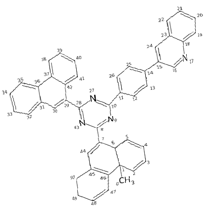 CC12C=CC=CC1C(c1nc(-c3ccc(-c4cnc5ccccc5c4)cc3)nc(-c3cc4ccccc4c4ccccc34)n1)=CC1=C2C=CCC1